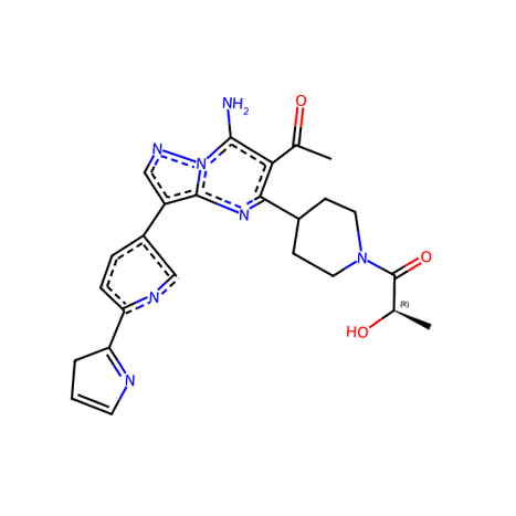 CC(=O)c1c(C2CCN(C(=O)[C@@H](C)O)CC2)nc2c(-c3ccc(C4=NC=CC4)nc3)cnn2c1N